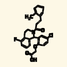 Cc1ccccc1CCC(=O)N1CCc2c(F)cccc2C1c1cc(Cl)ccc1OCC(=O)O